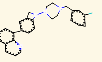 Fc1cccc(CN2CCN(N3Cc4cc(-c5cccc6cccnc56)ccc43)CC2)c1